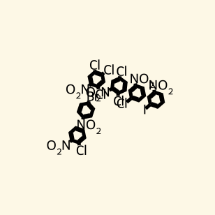 O=[N+]([O-])c1cc(Cl)c(Cl)cc1Cl.O=[N+]([O-])c1cc(Cl)ccc1Cl.O=[N+]([O-])c1ccc(Br)cc1.O=[N+]([O-])c1cccc(Cl)c1.O=[N+]([O-])c1cccc(I)c1.O=[N+]([O-])c1ccccc1Cl